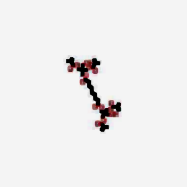 C=C(C)C(=O)OCC(CO)(COC(=O)CCCCCCCC(=O)OCC(CO)(COC(=O)C(=C)C)COC(=O)C(=C)C)COC(=O)C(=C)C